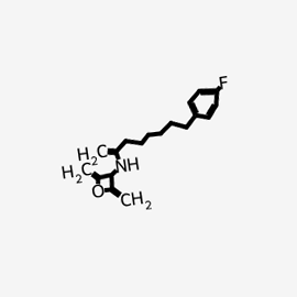 C=C(CCCCCCc1ccc(F)cc1)NC1C(=C)OC1=C